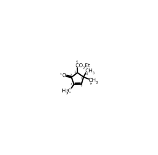 CCOC(=O)C1C(=O)C(C)=CC1(C)C